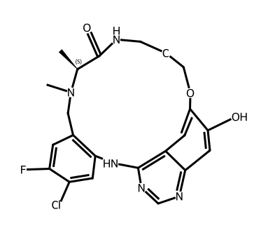 C[C@H]1C(=O)NCCCOc2cc3c(ncnc3cc2O)Nc2cc(Cl)c(F)cc2CN1C